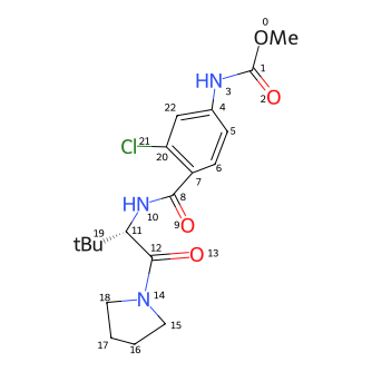 COC(=O)Nc1ccc(C(=O)N[C@H](C(=O)N2CCCC2)C(C)(C)C)c(Cl)c1